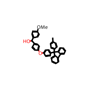 COc1ccc(C(O)c2ccc(Oc3ccc(C4(c5ccc(C)cc5)c5ccccc5-c5ccccc54)cc3)cc2)cc1